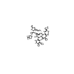 CN(C(=O)c1ccc(Cl)cc1)[C@@H]1CCN(C(=O)[C@@H]2CC(=O)CN2)C[C@H]1c1ccc(Cl)c(Cl)c1.Cl